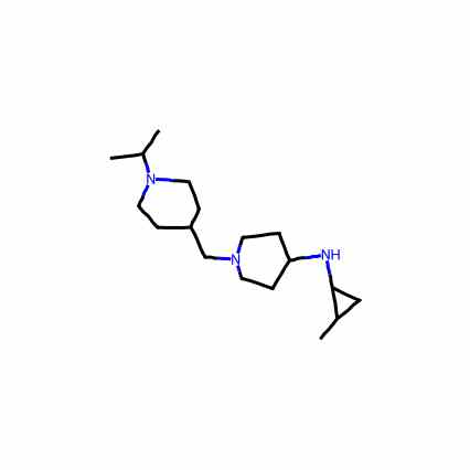 CC1CC1NC1CCN(CC2CCN(C(C)C)CC2)CC1